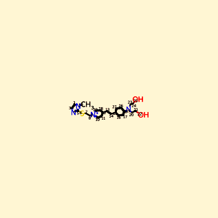 Cn1ccnc1SCC[n+]1ccc(/C=C/c2ccc(N(CCO)CCO)cc2)cc1